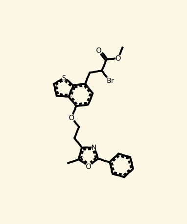 COC(=O)C(Br)Cc1ccc(OCCc2nc(-c3ccccc3)oc2C)c2ccsc12